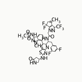 C[C@H]1CC(F)(F)c2c1c(C(F)(F)F)nn2CC(=O)NC(Cc1cc(F)cc(F)c1)c1nc2nc(NC3CNC(=O)C3)sc2cc1-c1cccc2c(NS(C)(=O)=O)nn(C)c12